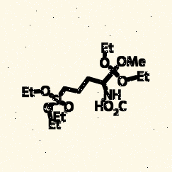 CCOC(OC)(OCC)C(CCC[Si](OCC)(OCC)OCC)NC(=O)O